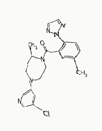 Cc1ccc(-n2nccn2)c(C(=O)N2CCN(c3cncc(Cl)c3)CC[C@H]2C)c1